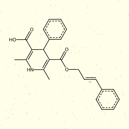 CC1=C(C(=O)O)C(c2ccccc2)C(C(=O)OC/C=C/c2ccccc2)=C(C)N1